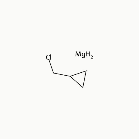 ClCC1CC1.[MgH2]